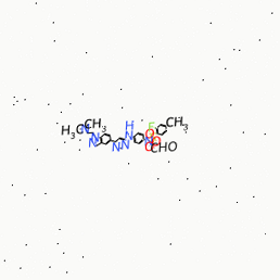 Cc1ccc(S(=O)(=O)N(OC=O)c2ccc(Nc3cc(-c4ccc5c(cnn5CCN(C)C)c4)ncn3)cc2)c(F)c1